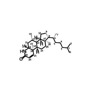 CC(C)CCC[C@@H](C)[C@H]1CC[C@H]2[C@@H]3[C@@H](C)C[C@H]4NC(=O)C=C[C@]4(C)[C@H]3CC[C@]12C